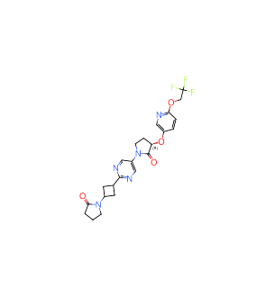 O=C1[C@H](Oc2ccc(OCC(F)(F)F)nc2)CCN1c1cnc(C2CC(N3CCCC3=O)C2)nc1